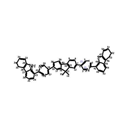 C=C(/N=C\C(=C/C)c1ccc2c(c1)C(C)(C)c1cc(-c3cnc(-c4cccc5c6c([nH]c45)C=CCC6)nc3)ccc1-2)c1cccc2c3c(sc12)C=CCC3